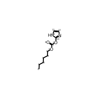 CCCCCCOC(=O)Oc1ncc[nH]1